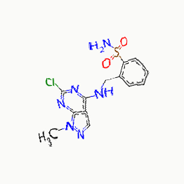 Cn1ncc2c(NCc3ccccc3S(N)(=O)=O)nc(Cl)nc21